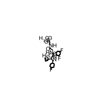 CC1(C(=O)NCC(=O)NCCS(C)(=O)=O)C(c2cccs2)C(c2ccc(F)cc2)=NN1c1ccc(F)cc1F